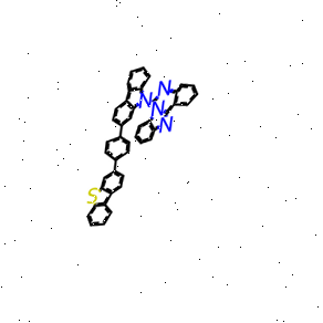 c1ccc2c(c1)nc(-n1c3ccccc3c3ccc(-c4ccc(-c5ccc6c(c5)sc5ccccc56)cc4)cc31)n1c3ccccc3nc21